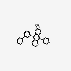 Cc1ccc2c(-c3ccncc3)c3c(c(-c4cccc(-c5ccccc5)c4)c2c1)=CCCC=3